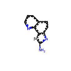 Nc1nc2ccc3cccnc3c2[se]1